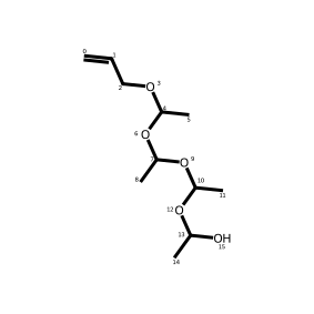 C=CCOC(C)OC(C)OC(C)OC(C)O